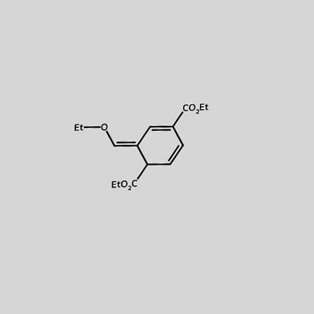 CCOC=C1C=C(C(=O)OCC)C=CC1C(=O)OCC